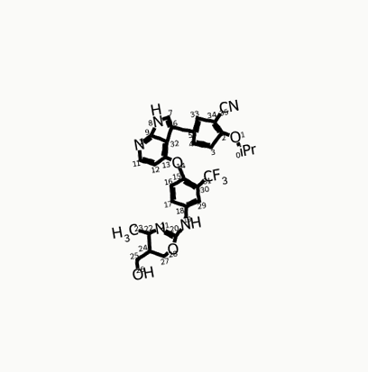 CC(C)Oc1ccc(-c2c[nH]c3nccc(Oc4ccc(NC5=NC(C)C(CO)CO5)cc4C(F)(F)F)c23)cc1C#N